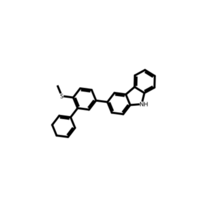 CSc1ccc(-c2ccc3[nH]c4ccccc4c3c2)cc1C1=CCCC=C1